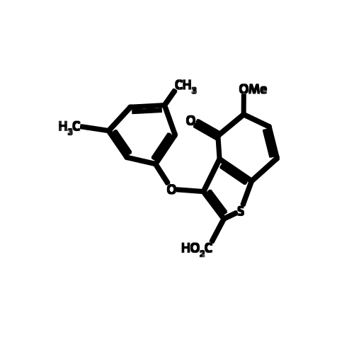 COC1C=Cc2sc(C(=O)O)c(Oc3cc(C)cc(C)c3)c2C1=O